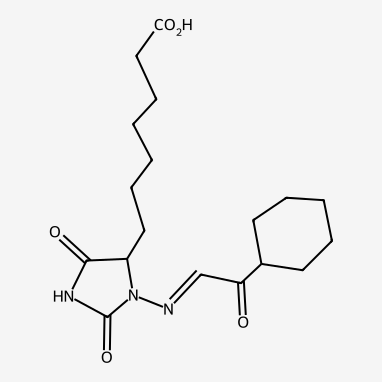 O=C(O)CCCCCCC1C(=O)NC(=O)N1/N=C/C(=O)C1CCCCC1